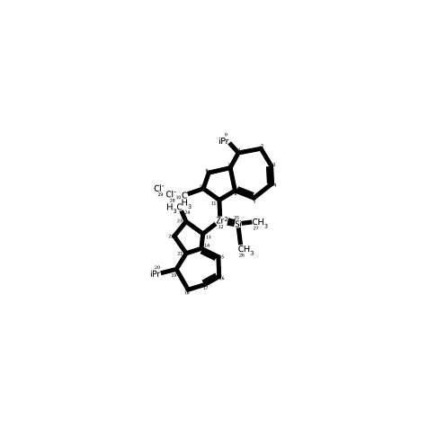 CC(C)C1CC=CC=C2C1CC(C)[CH]2[Zr+2]([CH]1C2=CC=CCC(C(C)C)C2CC1C)=[Si](C)C.[Cl-].[Cl-]